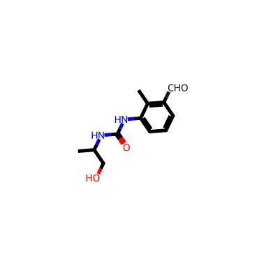 Cc1c(C=O)cccc1NC(=O)NC(C)CO